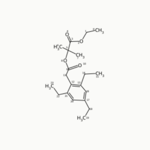 CCOC(=O)C(C)(C)OC(=O)Cc1c(CC)cc(CC)cc1CC